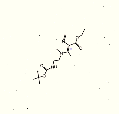 C=N/C(C(=O)OCC)=C(/C)N(C)CCNC(=O)OC(C)(C)C